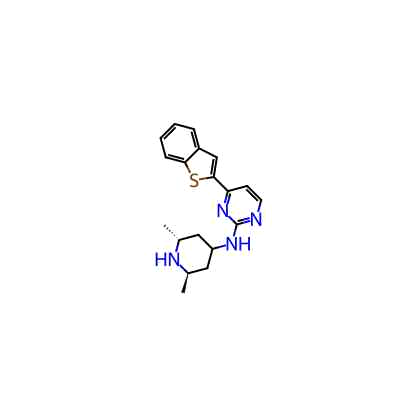 C[C@@H]1CC(Nc2nccc(-c3cc4ccccc4s3)n2)C[C@@H](C)N1